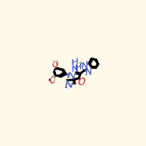 COc1cc(OC)cc(N2C(N)=C(c3nc4ccccc4[nH]3)C(=O)C23CN(C)C3)c1